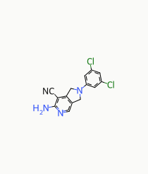 N#Cc1c(N)ncc2c1CN(c1cc(Cl)cc(Cl)c1)C2